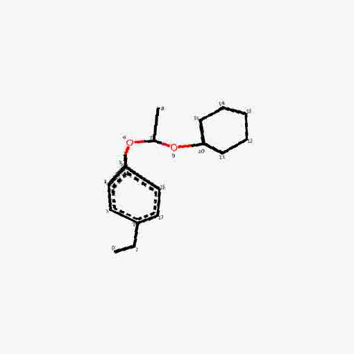 CCc1ccc(OC(C)OC2CCCCC2)cc1